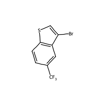 FC(F)(F)c1ccc2scc(Br)c2c1